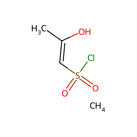 C.CC(O)=CS(=O)(=O)Cl